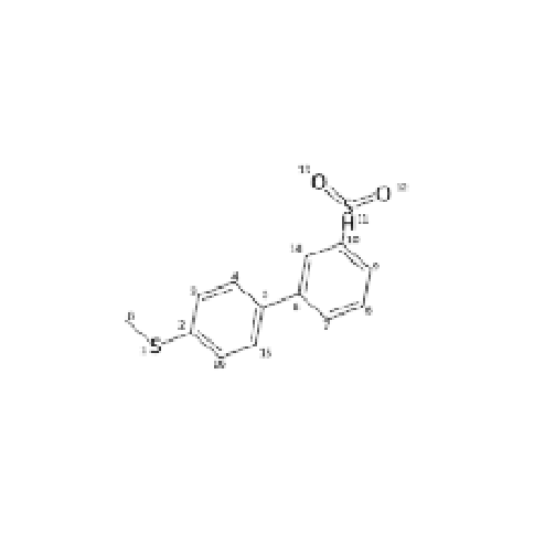 CSc1ccc(-c2cccc([SH](=O)=O)c2)cc1